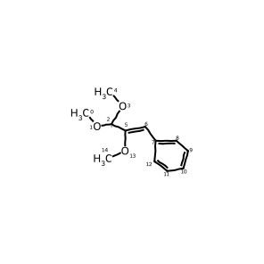 CO[C](OC)/C(=C/c1ccccc1)OC